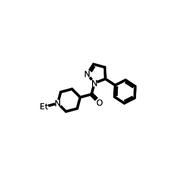 CCN1CCC(C(=O)N2N=CCC2c2ccccc2)CC1